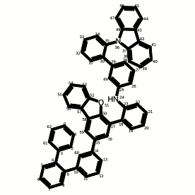 c1ccc(-c2ccccc2-c2cccc(-c3cc(-c4ccccc4Nc4cccc(-c5ccccc5-n5c6ccccc6c6ccccc65)c4)c4oc5ccccc5c4c3)c2)cc1